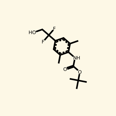 Cc1cc(C(F)(F)CO)cc(C)c1NC(=O)OC(C)(C)C